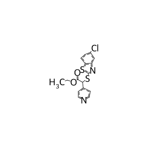 CCOC(=O)C(Sc1nc2cc(Cl)ccc2s1)c1ccncc1